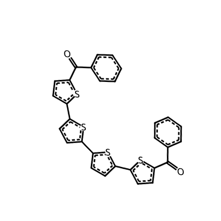 O=C(c1ccccc1)c1ccc(-c2ccc(-c3ccc(-c4ccc(C(=O)c5ccccc5)s4)s3)s2)s1